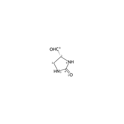 O=C[C@H]1CNC(=O)N1